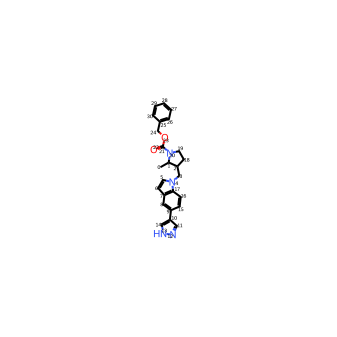 CC1C(Cn2ccc3cc(-c4cn[nH]c4)ccc32)CCN1C(=O)OCc1ccccc1